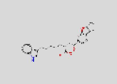 O=C(C[C@@H](CCCCCc1c[nH]c2ccccc12)C(=O)O)c1ccc2c3c(oc2c1)CCC3